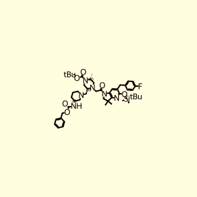 C[C@@H]1CN(CC(=O)N2CC(C)(C)c3nc(O[Si](C)(C)C(C)(C)C)c(Cc4ccc(F)cc4)cc32)[C@@H](CN2CCC[C@@H](NC(=O)OCc3ccccc3)C2)CN1C(=O)OC(C)(C)C